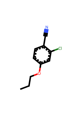 CCCOc1ccc(C#N)c(Cl)c1